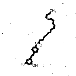 CC/C=C\C/C=C\C/C=C\CCCCCCCC(=O)Oc1ccc(C=Cc2cc(O)cc(O)c2)cc1